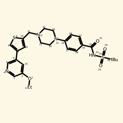 CCOc1cncc(-c2csc(CN3CCN(c4ccc(C(=O)NS(=O)(=O)C(C)(C)C)cc4)CC3)c2)c1